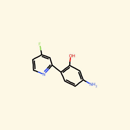 Nc1ccc(-c2cc(F)ccn2)c(O)c1